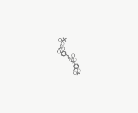 CC1(C)OCc2cc([C@@H]3CN(CCc4ccc5c(c4)O[C@H](COC(=O)C(C)(C)C)CO5)C(=O)O3)ccc2O1